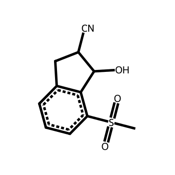 CS(=O)(=O)c1cccc2c1C(O)C(C#N)C2